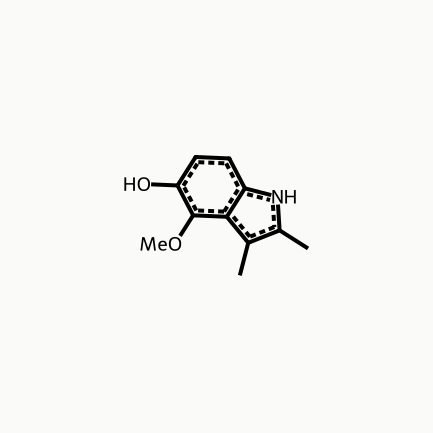 COc1c(O)ccc2[nH]c(C)c(C)c12